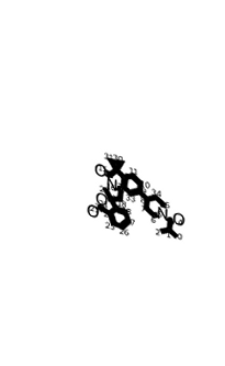 CC(C)C(=O)N1CCC(c2ccc(C3(C(=O)N4CCC5(C4)OC(=O)c4ccccc45)CC3)cc2)CC1